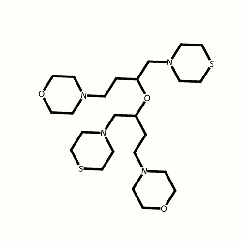 C1CN(CCC(CN2CCSCC2)OC(CCN2CCOCC2)CN2CCSCC2)CCO1